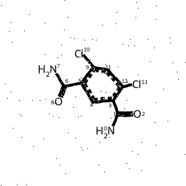 NC(=O)c1cc(C(N)=O)c(Cl)cc1Cl